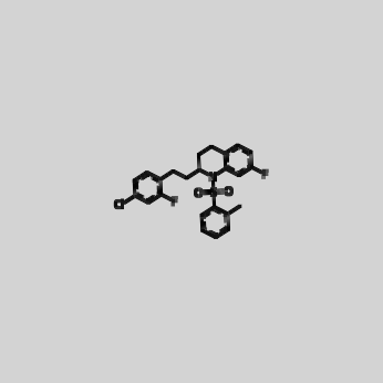 Cc1ccccc1S(=O)(=O)N1c2cc(F)ccc2CCC1CCc1ccc(Cl)cc1F